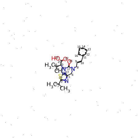 CC(C)c1nc(CN(C/C=C/c2ccccc2)C(=O)N[C@H](C(=O)O)C(C)C)cs1